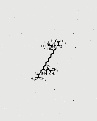 C=C(C)C(=O)NCC(CCCCCCCCC(CNC(=O)C(=C)C)NC(=O)C(=C)C)NC(=O)C(=C)C